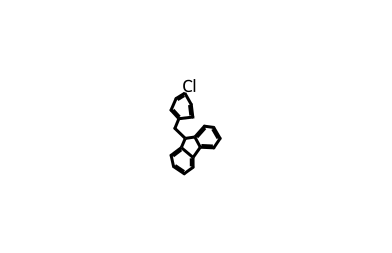 Clc1ccc(CC2c3ccccc3-c3ccccc32)cc1